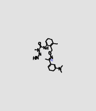 CC1=C(CO/N=C(\C)C2=CCCC(N(C)C)=C2)C(NC(=O)N(C)N=N)=CCC1